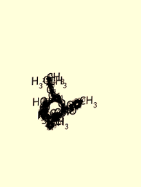 Cc1ccc(S(=O)(=O)OC[C@@H]2COc3ccc(OCOCC[Si](C)(C)C)c(c3)C[C@H](C(=O)O)Oc3ncnc4sc(C5=CCCC5)c(c34)-c3c(C)c(Cl)c(c(Cl)c3C)O2)cc1